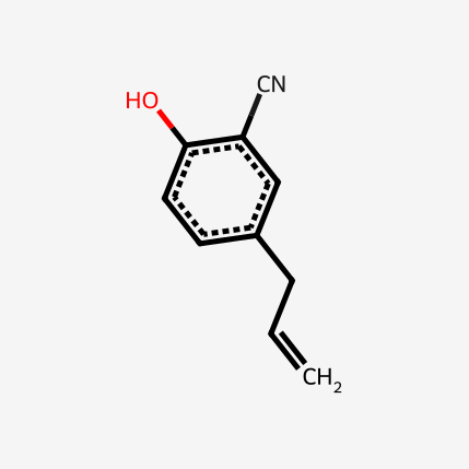 C=CCc1ccc(O)c(C#N)c1